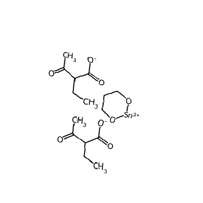 C1C[O][Sn+2][O]C1.CCC(C(C)=O)C(=O)[O-].CCC(C(C)=O)C(=O)[O-]